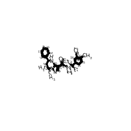 CCC(CC)(NC(=O)c1cnn2c1NC(c1ccccc1)CC2(C)C)c1ccc(C)c(Cl)c1